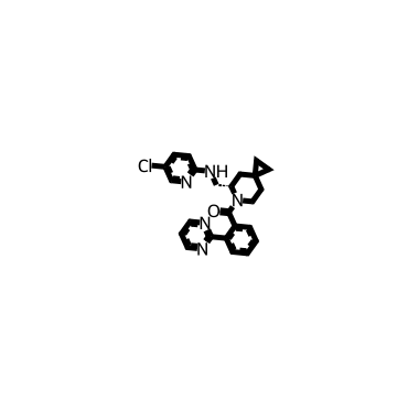 O=C(c1ccccc1-c1ncccn1)N1CCC2(CC2)C[C@H]1CNc1ccc(Cl)cn1